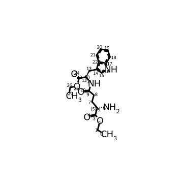 CCOC(=O)[C@@H](N)CCC(=O)N[C@H](Cc1c[nH]c2ccccc12)C(=O)OCC